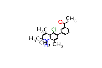 CCC(=O)c1cccc(-c2cc(C)c3c(c2Cl)C(C)=CC(C)(C)N3)c1